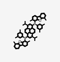 Cc1cc(C)cc(N(c2cc(C(C)C)c3ccc4c(N(c5cc(C)cc(C)c5)c5c(C)ccc6c5oc5c(C)cccc56)cc(C(C)C)c5ccc2c3c54)c2c(C)ccc3c2oc2c(C)cccc23)c1